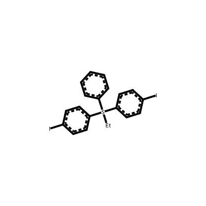 CCS(c1ccccc1)(c1ccc(I)cc1)c1ccc(I)cc1